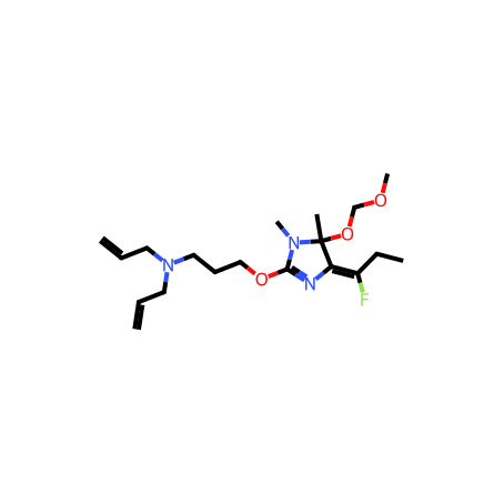 C=CCN(CC=C)CCCOC1=N/C(=C(\F)CC)C(C)(OCOC)N1C